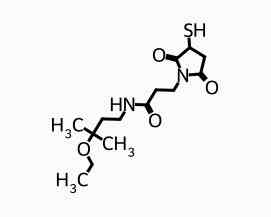 CCOC(C)(C)CCNC(=O)CCN1C(=O)CC(S)C1=O